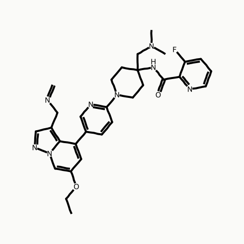 C=NCc1cnn2cc(OCC)cc(-c3ccc(N4CCC(CN(C)C)(NC(=O)c5ncccc5F)CC4)nc3)c12